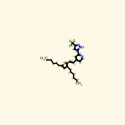 CCCCCCc1cc(CCCCCC)c(/C=C/c2ccnc(-c3cc(C(F)(F)F)n[nH]3)c2)s1